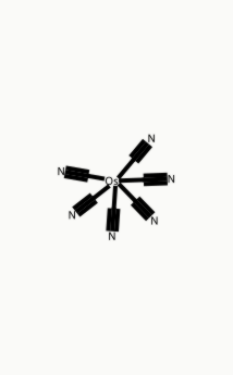 N#[C][Os]([C]#N)([C]#N)([C]#N)([C]#N)[C]#N